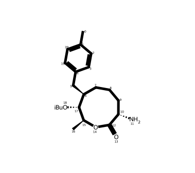 Cc1ccc(C[C@H]2CCC[C@H](N)C(=O)O[C@@H](C)[C@@H]2OCC(C)C)cc1